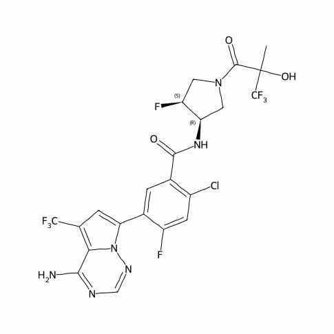 CC(O)(C(=O)N1C[C@H](F)[C@H](NC(=O)c2cc(-c3cc(C(F)(F)F)c4c(N)ncnn34)c(F)cc2Cl)C1)C(F)(F)F